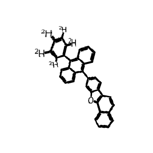 [2H]c1c([2H])c([2H])c(-c2c3ccccc3c(-c3ccc4c(c3)oc3c5ccccc5ccc43)c3ccccc23)c([2H])c1[2H]